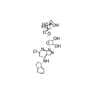 O=P(O)(O)CP(=O)(O)OC[C@H]1O[C@@H](n2ncc3c(N[C@H]4CCc5ccccc54)cc(Cl)nc32)C(O)C1O